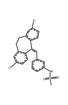 CS(=O)(=O)Nc1cccc(C=C2c3ccc(Cl)cc3CCc3cc(Cl)ccc32)c1